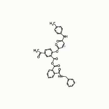 CC(=O)c1ccc(OC(=O)/C=C\C(=O)Nc2ccc(C)cc2)c(C(=O)OC(=O)c2ccccc2C(=O)NCc2ccccc2)c1